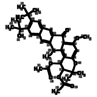 COc1cc2c(c3c1c(=O)c1cc4cc(C(C)(C)C)c(C(C)(C)C)cc4cc1n3C)C(OC(C)=O)C(OC(C)=O)C(C)(C)O2